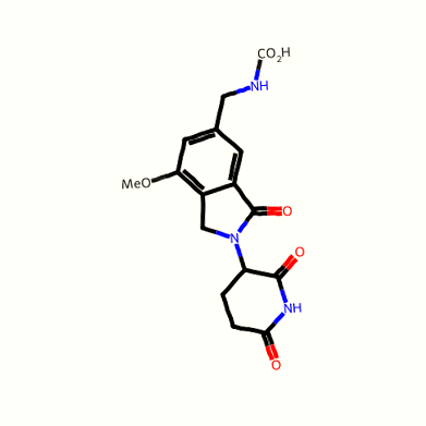 COc1cc(CNC(=O)O)cc2c1CN(C1CCC(=O)NC1=O)C2=O